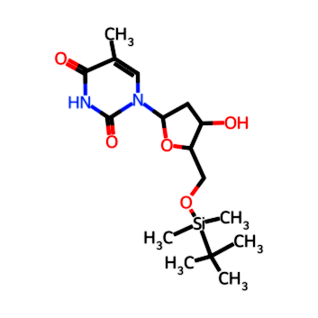 Cc1cn(C2CC(O)C(CO[Si](C)(C)C(C)(C)C)O2)c(=O)[nH]c1=O